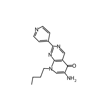 CCCCn1cc(N)c(=O)c2cnc(-c3ccncc3)nc21